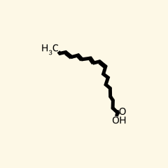 CCC=CC=CC=C/C=C\CCCCCCCC(=O)O